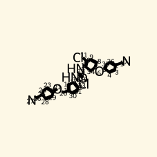 N#Cc1ccc(OC2C=CC(Cl)=C(NC(=O)Nc3cc(COC4=CCC(C#N)C=C4)ccc3Cl)C2)cc1